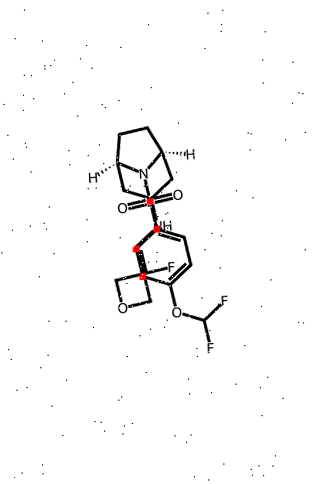 O=S(=O)(c1ccc(OC(F)F)cc1)N1[C@@H]2CC[C@H]1CC(NCC1(F)COC1)C2